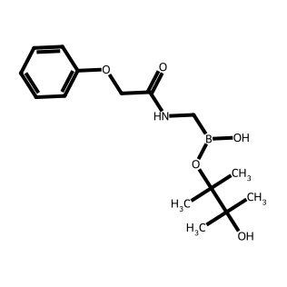 CC(C)(O)C(C)(C)OB(O)CNC(=O)COc1ccccc1